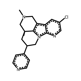 CN1Cc2c3n(c4ncc(Cl)cc24)CC(c2ccncc2)CC3(C)C1